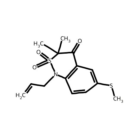 C=CCN1c2ccc(SC)cc2C(=O)C(C)(C)S1(=O)=O